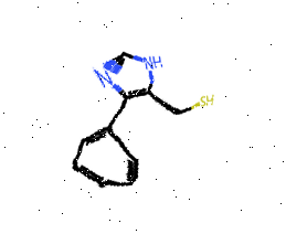 SCc1[nH]cnc1-c1ccccc1